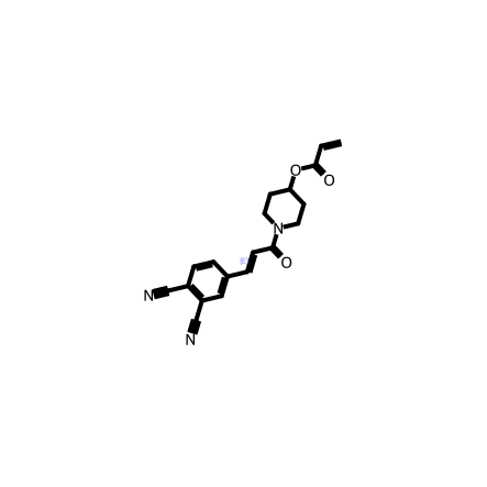 C=CC(=O)OC1CCN(C(=O)/C=C/c2ccc(C#N)c(C#N)c2)CC1